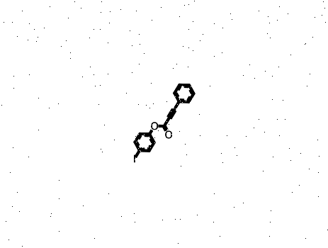 O=C(C#Cc1ccccc1)Oc1ccc(I)cc1